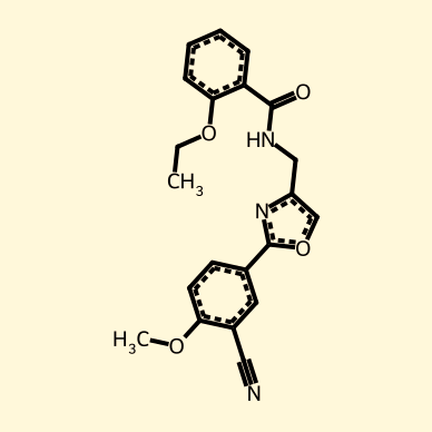 CCOc1ccccc1C(=O)NCc1coc(-c2ccc(OC)c(C#N)c2)n1